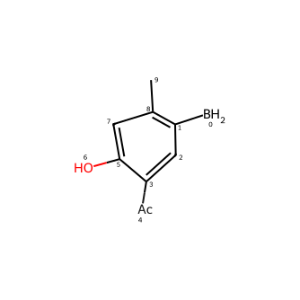 Bc1cc(C(C)=O)c(O)cc1C